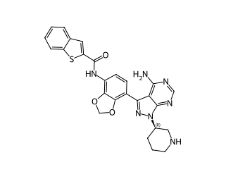 Nc1ncnc2c1c(-c1ccc(NC(=O)c3cc4ccccc4s3)c3c1OCO3)nn2[C@@H]1CCCNC1